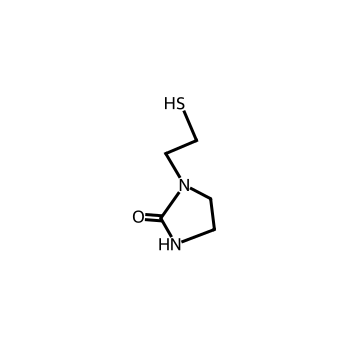 O=C1NCCN1CCS